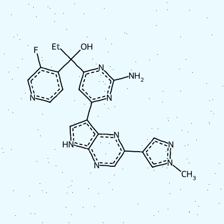 CCC(O)(c1cc(-c2c[nH]c3ncc(-c4cnn(C)c4)nc23)nc(N)n1)c1ccncc1F